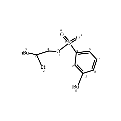 CCCCC(CC)COS(=O)(=O)c1cccc(C(C)(C)C)c1